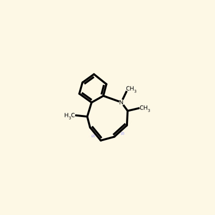 CC1/C=C\C=C/C(C)N(C)c2ccccc21